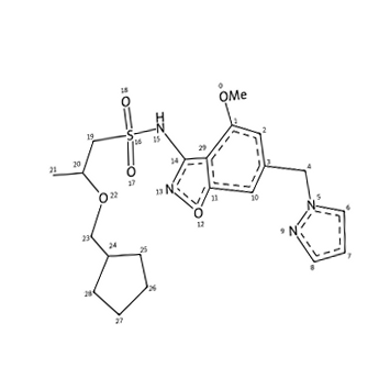 COc1cc(Cn2cccn2)cc2onc(NS(=O)(=O)CC(C)OCC3CCCC3)c12